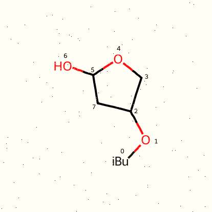 CCC(C)OC1COC(O)C1